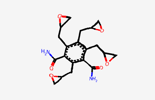 NC(=O)c1c(CC2CO2)c(CC2CO2)c(CC2CO2)c(C(N)=O)c1CC1CO1